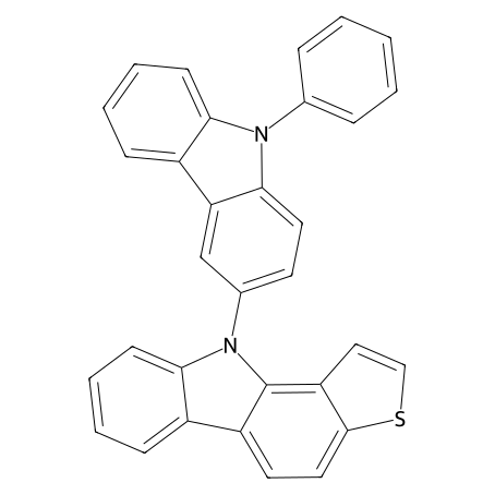 c1ccc(-n2c3ccccc3c3cc(-n4c5ccccc5c5ccc6sccc6c54)ccc32)cc1